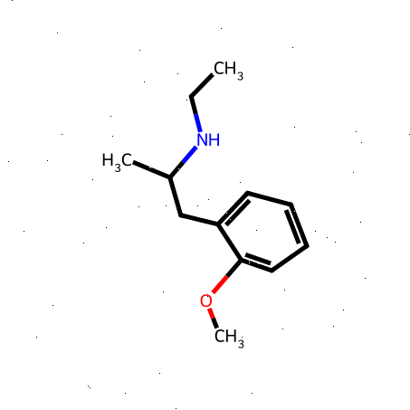 CCNC(C)Cc1ccccc1OC